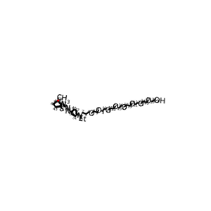 CCN(CCCOCCOCCOCCOCCOCCOCCOCCOCCO)c1ccc(N=Nc2nc3c(C)cccc3s2)cc1